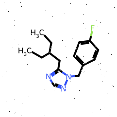 CCC(CC)Cc1ncnn1Cc1ccc(F)cc1